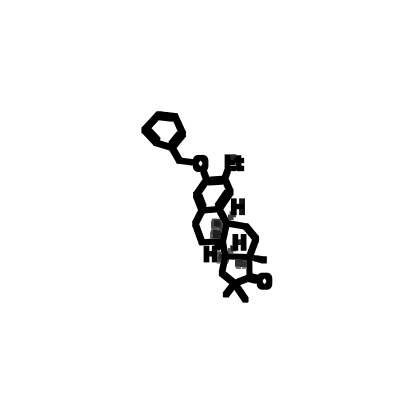 CCc1cc2c(cc1OCc1ccccc1)CC[C@@H]1[C@@H]2CC[C@]2(C)C(=O)C(C)(C)C[C@@H]12